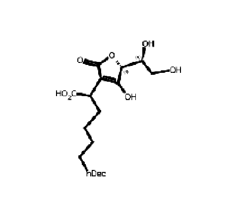 CCCCCCCCCCCCCCC(C(=O)O)C1=C(O)[C@@H]([C@@H](O)CO)OC1=O